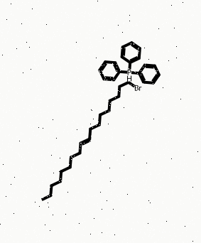 CCCCCCCCC=CCCCCCCCC(Br)[PH](c1ccccc1)(c1ccccc1)c1ccccc1